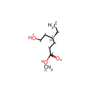 CC[C@H](CCO)CCC(=O)OC